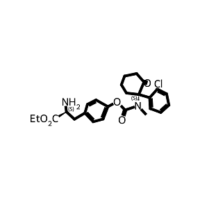 CCOC(=O)[C@@H](N)Cc1ccc(OC(=O)N(C)[C@]2(c3ccccc3Cl)CCCCC2=O)cc1